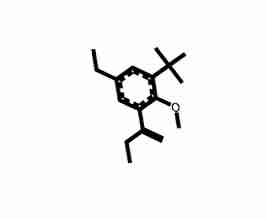 C=C(CC)c1cc(CC)cc(C(C)(C)C)c1OC